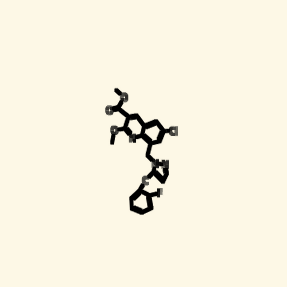 COC(=O)c1cc2cc(Cl)cc(Cn3nccc3Cc3ccccc3F)c2nc1OC